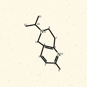 Cc1ccc2c(n1)CCN(C(C)C)C2